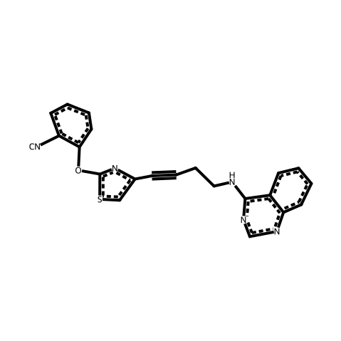 [C-]#[N+]c1ccccc1Oc1nc(C#CCCNc2ncnc3ccccc23)cs1